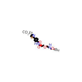 CCOC(=O)c1csc(-c2ccc(C(=O)NC(=O)OCCOCCNCOC(C)(C)C)cc2)n1